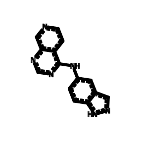 c1cc2c(Nc3ccc4[nH]ncc4c3)ncnc2cn1